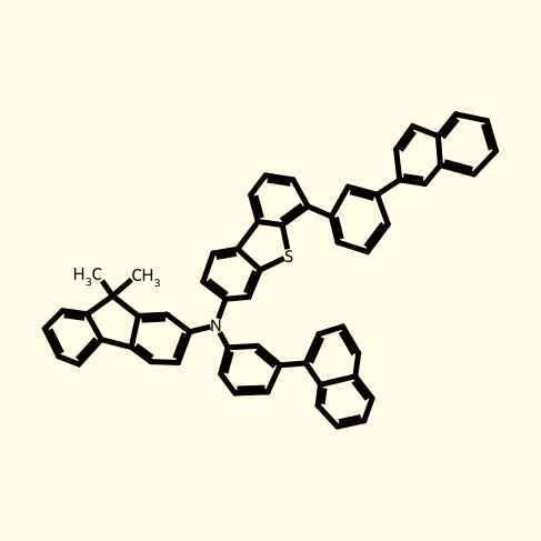 CC1(C)c2ccccc2-c2ccc(N(c3cccc(-c4cccc5ccccc45)c3)c3ccc4c(c3)sc3c(-c5cccc(-c6ccc7ccccc7c6)c5)cccc34)cc21